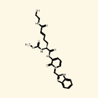 COC(=O)N[C@@H](CC/C=C/C(=O)NCCO)C(=O)Nc1cccn(Cc2nc3ccccc3[nH]2)c1=O